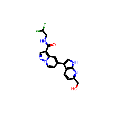 O=C(NCC(F)F)c1cnn2ccc(-c3c[nH]c4nc(CO)ccc34)cc12